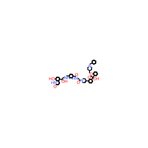 O=C(NCC(=O)N1CC=C(c2cccc([C@](O)(C(=O)OCC3CCN(Cc4ccccc4)CC3)c3ccccc3)c2)CC1)c1ccc(CNC[C@H](O)c2ccc(O)c3[nH]c(=O)ccc23)cc1